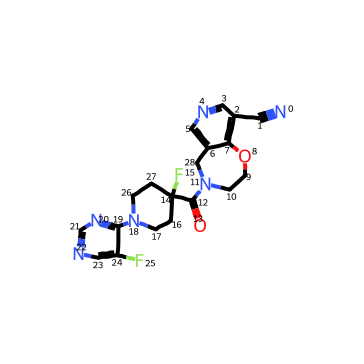 N#Cc1cncc2c1OCCN(C(=O)C1(F)CCN(c3ncncc3F)CC1)C2